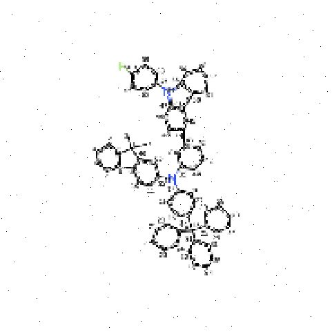 CC1(C)c2ccccc2-c2ccc(N(c3ccc(C(c4ccccc4)(c4ccccc4)c4ccccc4)cc3)c3cccc(-c4ccc5c(c4)c4ccccc4n5-c4ccc(F)cc4)c3)cc21